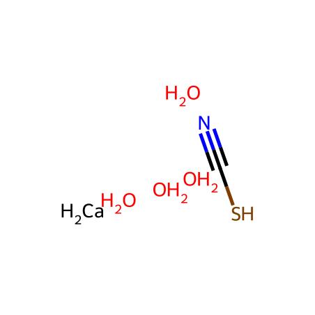 N#CS.O.O.O.O.[CaH2]